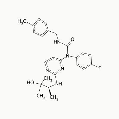 Cc1ccc(CNC(=O)N(c2ccc(F)cc2)c2ccnc(N[C@@H](C)C(C)(C)O)n2)cc1